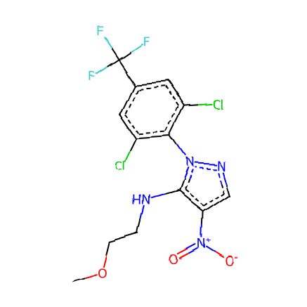 COCCNc1c([N+](=O)[O-])cnn1-c1c(Cl)cc(C(F)(F)F)cc1Cl